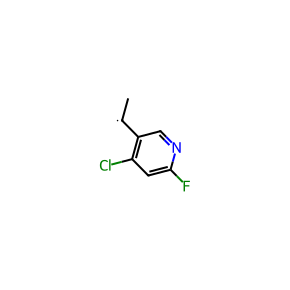 C[CH]c1cnc(F)cc1Cl